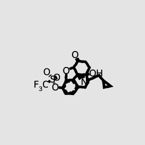 O=C1CCC2(O)C3Cc4ccc(OS(=O)(=O)C(F)(F)F)c5c4C2(CCN3CC2CC2)C1O5